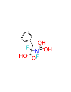 O=C(O)C(F)(Cc1ccccc1)N(F)B(O)O